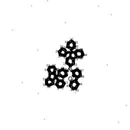 c1ccc(C2(c3ccc(N(c4ccc5c(c4)-c4ccccc4C5(c4ccccc4)c4ccccc4)c4cccc5c4oc4ccccc45)cc3)c3ccccc3-c3ccccc32)cc1